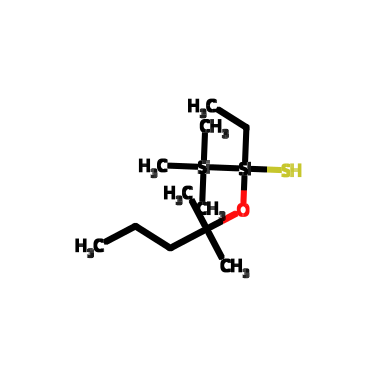 CCCC(C)(C)O[Si](S)(CC)[Si](C)(C)C